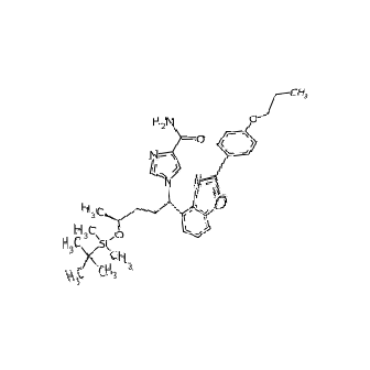 CCCOc1ccc(-c2nc3c(C(CC[C@H](C)O[Si](C)(C)C(C)(C)C)n4cnc(C(N)=O)c4)cccc3o2)cc1